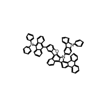 c1ccc(N(c2ccccc2)c2c3ccccc3c(-c3ccc4oc5c(c4c3)c3ccccc3c3c4ccc6c7ccccc7c7ccccc7c6c4n(-c4ccc6c(c4)c4ccccc4n6-c4ccccc4)c53)c3ccccc23)cc1